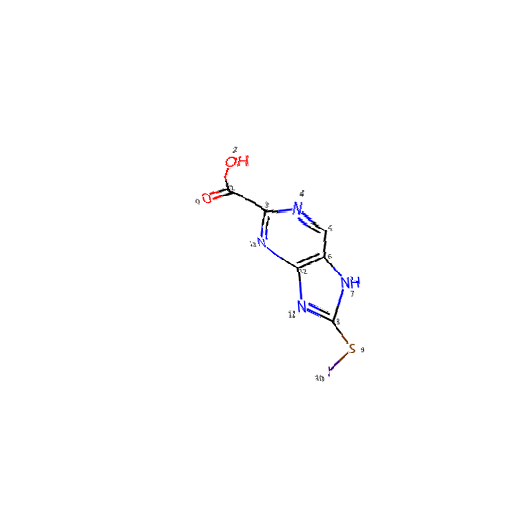 O=C(O)c1ncc2[nH]c(SI)nc2n1